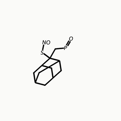 O=NSC1(CP=O)C2CC3CC(C2)CC1C3